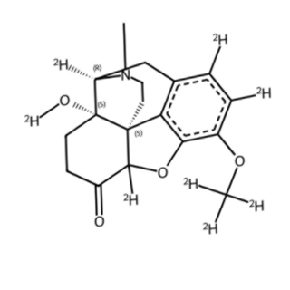 [2H]O[C@@]12CCC(=O)C3([2H])Oc4c(OC([2H])([2H])[2H])c([2H])c([2H])c5c4[C@@]31CCN(C)[C@]2([2H])C5